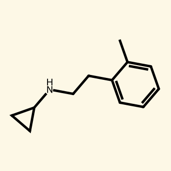 Cc1ccccc1CCNC1CC1